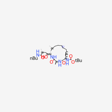 CCCCNC(=O)[C@H](C)C[C@H](O)[C@@H]1C[C@H](C)CC/C=C/CCC[C@H](NC(=O)OC(C)(C)C)C(=O)N[C@@H](C)C(=O)N1